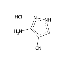 Cl.N#Cc1c[nH]nc1N